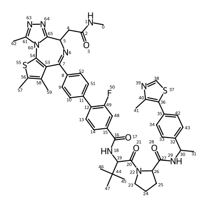 CNC(=O)CC1N=C(c2ccc(-c3ccc(C(=O)NC(C(=O)N4CCCC4C(=O)NC(C)c4ccc(-c5scnc5C)cc4)C(C)(C)C)cc3F)cc2)c2c(sc(C)c2C)-n2c(C)nnc21